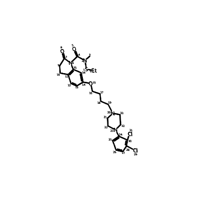 CCSN(C)C(=O)N1C(=O)CCc2ccc(OCCCCN3CCN(c4cccc(Cl)c4Cl)CC3)cc21